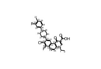 CCn1cc(C(=O)O)c(=O)c2c3cc(N4CCN(c5ccc(C)c(F)c5)CC4)c(Cl)c(F)c3ncc21